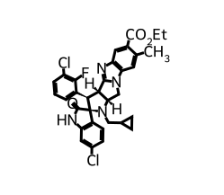 CCOC(=O)c1cc2nc3n(c2cc1C)C[C@H]1[C@@H]3[C@H](c2cccc(Cl)c2F)[C@]2(C(=O)Nc3cc(Cl)ccc32)N1CC1CC1